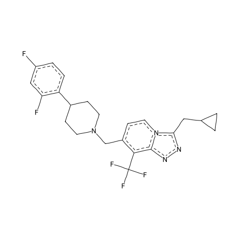 Fc1ccc(C2CCN(Cc3ccn4c(CC5CC5)nnc4c3C(F)(F)F)CC2)c(F)c1